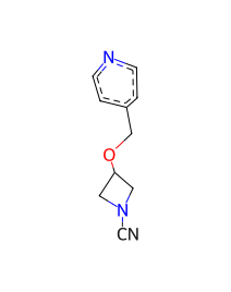 N#CN1CC(OCc2ccncc2)C1